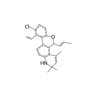 C=Cc1c(Cl)ccc2c1-c1ccc3c(c1C(C=CC)O2)C(C)=CC(C)(C)N3